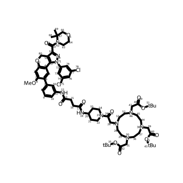 COc1cc2c(cc1-c1cccc(NC(=O)CCC(=O)NC3CCN(C(=O)CN4CCN(CC(=O)OC(C)(C)C)CCN(CC(=O)OC(C)(C)C)CCN(CC(=O)OC(C)(C)C)CC4)CC3)c1)-c1c(c(C(=O)N3CCOCC3(C)C)nn1-c1cc(Cl)cc(Cl)c1)CO2